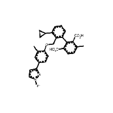 Cc1cc(-c2ccn(C(C)C)n2)ccc1OCc1c(-c2c(C(=O)O)ccc(C)c2C(=O)O)cccc1C1CC1